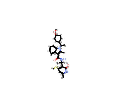 [2H]C([2H])(NC(=O)c1c(C)n(C(C)C2CCC(OC)CC2)c2ccccc12)c1c(SC)cc(C)[nH]c1=O